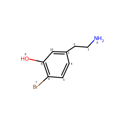 NCCc1ccc(Br)c(O)c1